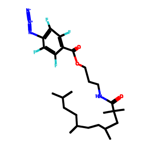 CC(C)CCC(C)CCC(C)CC(C)(C)C(=O)NCCCOC(=O)c1c(F)c(F)c(N=[N+]=[N-])c(F)c1F